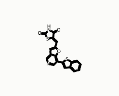 O=C1NC(=O)/C(=C/c2cc3cncc(-c4cc5ccccc5s4)c3o2)S1